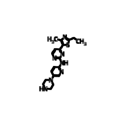 CCc1nc(C)c(-c2ccnc(Nc3ccc(N4CCNCC4)cn3)n2)s1